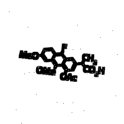 COc1ccc2c(F)c3cc(C(C)C(=O)O)cc(OC(C)=O)c3c(OC)c2c1